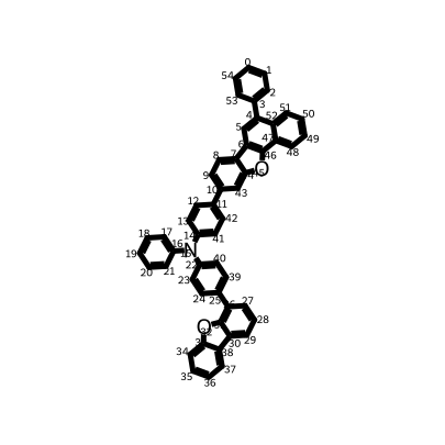 c1ccc(-c2cc3c4ccc(-c5ccc(N(c6ccccc6)c6ccc(-c7cccc8c7oc7ccccc78)cc6)cc5)cc4oc3c3ccccc23)cc1